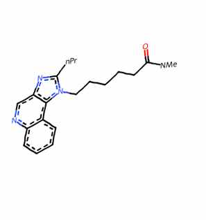 CCCc1nc2cnc3ccccc3c2n1CCCCCC(=O)NC